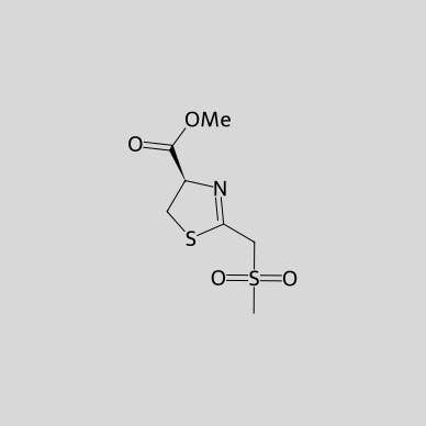 COC(=O)[C@@H]1CSC(CS(C)(=O)=O)=N1